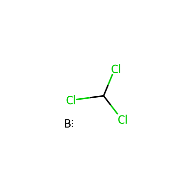 ClC(Cl)Cl.[B]